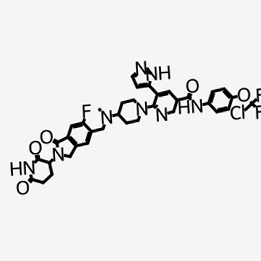 CN(Cc1cc2c(cc1F)C(=O)N(C1CCC(=O)NC1=O)C2)C1CCN(C2=NCC(C(=O)Nc3ccc(OC(F)(F)Cl)cc3)C=C2c2ccn[nH]2)CC1